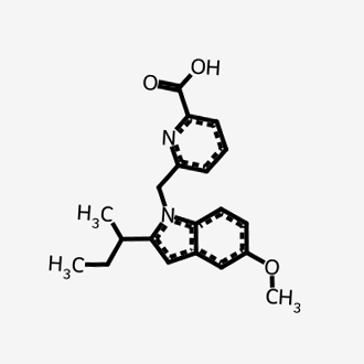 CCC(C)c1cc2cc(OC)ccc2n1Cc1cccc(C(=O)O)n1